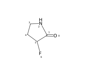 O=C1NCCC1F